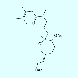 CC(=O)OCC=C1CC[C@@H](OC(C)=O)C(C)(CCCC(C)C(=O)CC(C)=C(C)C)OC1